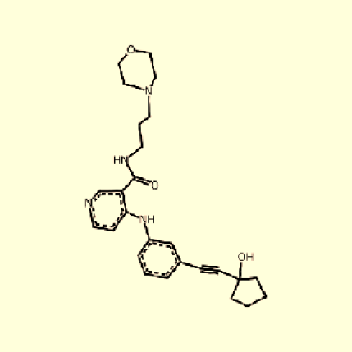 O=C(NCCCN1CCOCC1)c1cnccc1Nc1cccc(C#CC2(O)CCCC2)c1